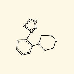 c1ccc(-n2ccnc2)c(N2CCOCC2)c1